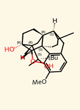 COc1ccc2c3c1O[C@@]1(C)[C@]34CCC(C)[C@H](C2)[C@]42CC[C@@]1(O)[C@@H]([C@](C)(O)C(C)(C)C)C2